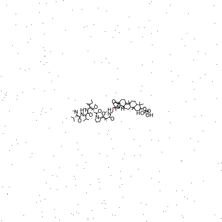 CC[C@H](C)[C@@H]([C@@H](CC(=O)N1CCCC1[C@H](OC)[C@@H](C)C(=O)NCCN1C(=O)[C@]23CCC(C)(C)C1C2[C@H]1CCC2[C@@]4(C)CC[C@H](OP(=O)(O)O)C(C)(C)C4CC[C@@]2(C)[C@]1(C)CC3)OC)N(C)C(=O)[C@@H](NC(=O)[C@H](C(C)C)N(C)C)C(C)C